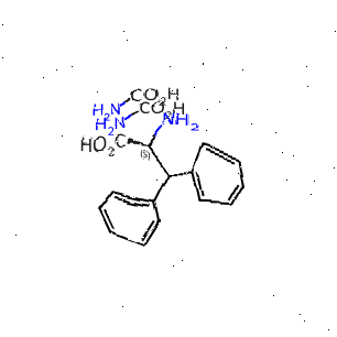 NC(=O)O.NC(=O)O.N[C@H](C(=O)O)C(c1ccccc1)c1ccccc1